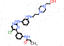 C=CC(=O)Nc1cccc(-c2nc(Nc3cccc(NCCCN4CCN(CCO)CC4)c3)ncc2Cl)c1